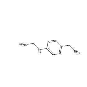 CCCCCCCNc1ccc(CN)cc1